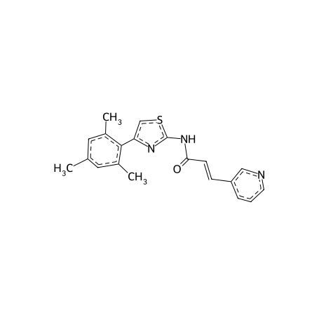 Cc1cc(C)c(-c2csc(NC(=O)/C=C/c3cccnc3)n2)c(C)c1